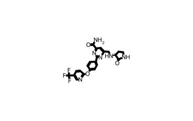 NC(=O)c1cc(CN[C@H]2CCNC2=O)nc(-c2ccc(Oc3ccc(C(F)(F)F)cn3)cc2)n1